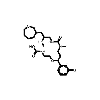 CNC(CNC(=O)N(C)CCC(OCCNC(=O)O)c1cccc(Cl)c1)C[C@H]1CCCCOC1